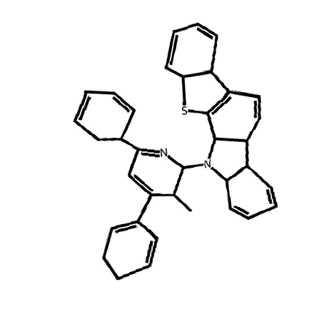 CC1C(C2=CCCC=C2)=CC(C2C=CC=CC2)=NC1N1C2C=CC=CC2C2C=CC3=C(SC4C=CC=CC34)C21